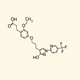 CCOc1cc(OCCCc2cn(-c3ccc(C(F)(F)F)cn3)nc2O)ccc1CCC(=O)O